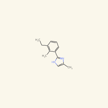 CCc1cccc(-c2nc(C)c[nH]2)c1C